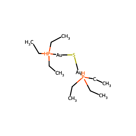 CC[PH](CC)(CC)[Au][S][Au][PH](CC)(CC)CC